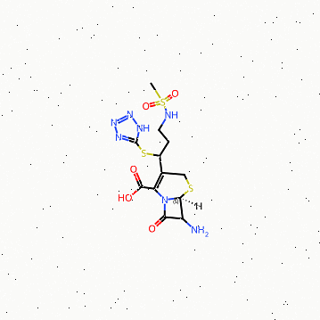 CS(=O)(=O)NCCC(Sc1nnn[nH]1)C1=C(C(=O)O)N2C(=O)C(N)[C@@H]2SC1